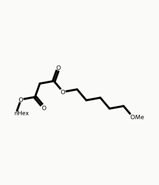 CCCCCCOC(=O)CC(=O)OCCCCCOC